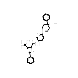 O=C(Nc1ccc(N2CCC(O)(c3ccccc3)CC2)nc1)c1nc(-c2ccccc2)oc1C(F)(F)F